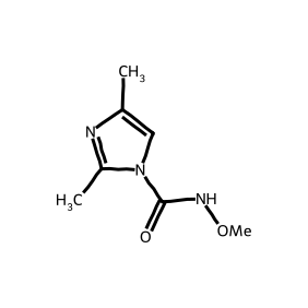 CONC(=O)n1cc(C)nc1C